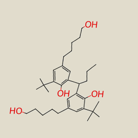 CCCC(c1cc(CCCCCO)cc(C(C)(C)C)c1O)c1cc(CCCCCO)cc(C(C)(C)C)c1O